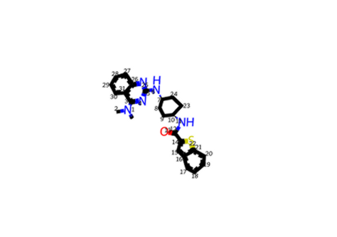 CN(C)c1nc(N[C@H]2CC[C@@H](NC(=O)c3cc4ccccc4s3)CC2)nc2ccccc12